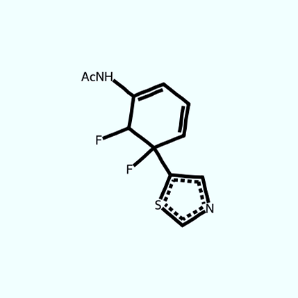 CC(=O)NC1=CC=CC(F)(c2cncs2)C1F